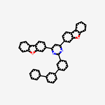 c1ccc(-c2cccc(-c3cccc(-c4nc(-c5ccc6c(c5)oc5ccccc56)cc(-c5ccc6c(c5)oc5ccccc56)n4)c3)c2)cc1